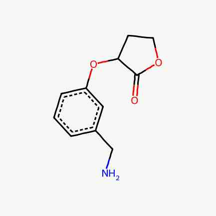 NCc1cccc(OC2CCOC2=O)c1